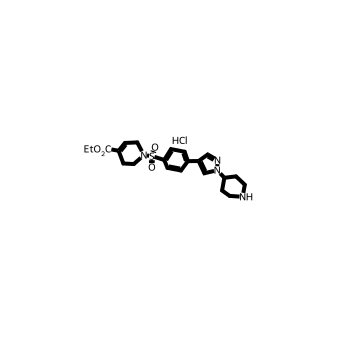 CCOC(=O)C1=CCN(S(=O)(=O)c2ccc(-c3cnn(C4CCNCC4)c3)cc2)CC1.Cl